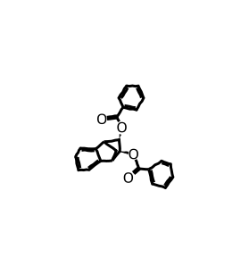 O=C(O[C@H]1C2CC(c3ccccc32)[C@@H]1OC(=O)c1ccccc1)c1ccccc1